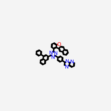 c1ccc(-c2cc(-c3nc(-c4ccc(-c5cnc6cccnc6n5)cc4)nc(-c4cccc5oc6cc7ccccc7cc6c45)n3)cc3ccccc23)cc1